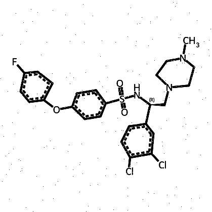 CN1CCN(C[C@H](NS(=O)(=O)c2ccc(Oc3ccc(F)cc3)cc2)c2ccc(Cl)c(Cl)c2)CC1